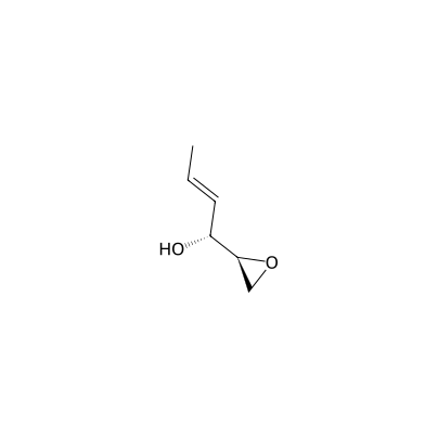 C/C=C/[C@@H](O)[C@@H]1CO1